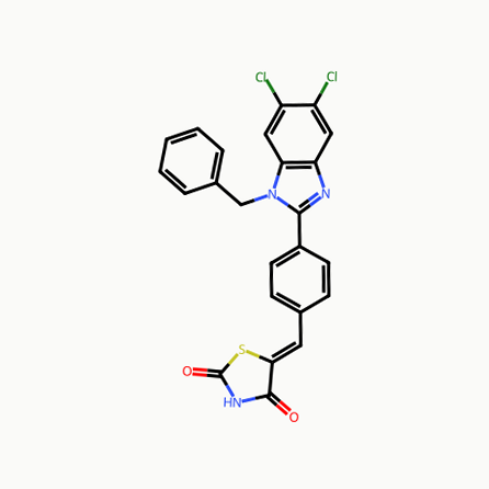 O=C1NC(=O)C(=Cc2ccc(-c3nc4cc(Cl)c(Cl)cc4n3Cc3ccccc3)cc2)S1